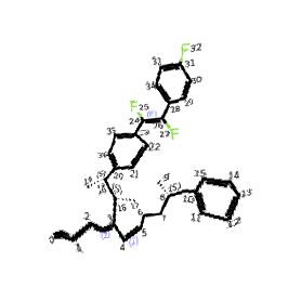 C=C/C=C(\C=C/CC[C@H](C)c1ccccc1)[C@@H](C)[C@H](C)c1ccc(/C(F)=C(\F)c2ccc(F)cc2)cc1